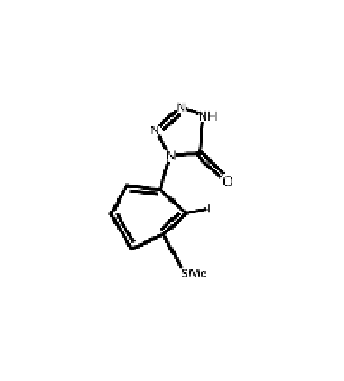 CSc1cccc(-n2nn[nH]c2=O)c1I